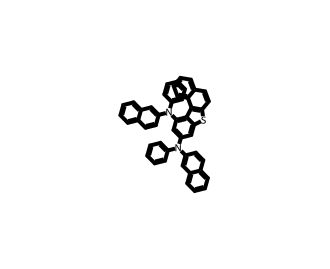 c1ccc(N(c2ccc3ccccc3c2)c2cc(N(c3ccccc3)c3ccc4ccccc4c3)c3c(c2)sc2ccc4ccccc4c23)cc1